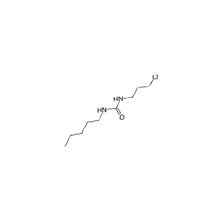 CCCCCNC(=O)NCCCCl